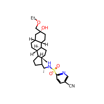 CCOC[C@@]1(O)CC[C@H]2[C@H](CC[C@@H]3[C@@H]2CC[C@]2(C)C([C@@H](C)NS(=O)(=O)c4ccc(C#N)cn4)CC[C@@H]32)C1